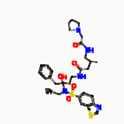 CC(C)CN(C(O)(CCNC(=O)CC(C)CNC(=O)CN1CCCC1)Cc1ccccc1)S(=O)(=O)c1ccc2ncsc2c1